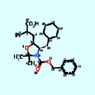 CC(C)C(C[C@@H]1OC(C)(C)N(C(=O)OCc2ccccc2)[C@H]1CC1CCCCC1)C(=O)O